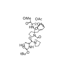 COC(=O)[C@@H](NC(=O)C1(Cc2ccccc2)CCCN1C(=O)[C@@H]1CCCN1C(=O)[C@H](CO)NC(=O)OC(C)(C)C)[C@@H](C)OC(C)=O